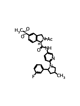 CC(=O)N1Cc2cc(S(C)(=O)=O)ccc2[C@@H]1C(=O)Nc1ccc(N2CC(C)CC2c2cccc(F)c2)nc1